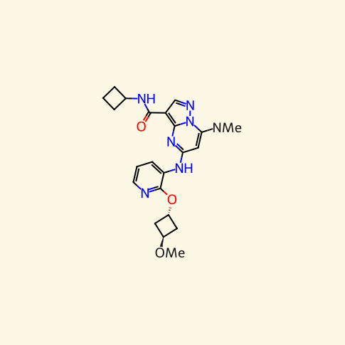 CNc1cc(Nc2cccnc2O[C@H]2C[C@H](OC)C2)nc2c(C(=O)NC3CCC3)cnn12